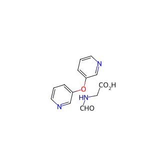 O=CNCC(=O)O.c1cncc(Oc2cccnc2)c1